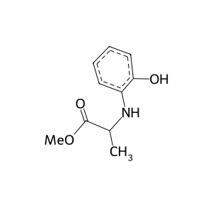 COC(=O)C(C)Nc1ccccc1O